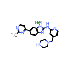 Cl.FC(F)(F)c1nccc(-c2ccc3nc(Nc4cc(CN5CCNCC5)ccn4)[nH]c3c2)n1